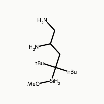 CCCCC(CCCC)(CC(N)CN)[SiH2]OC